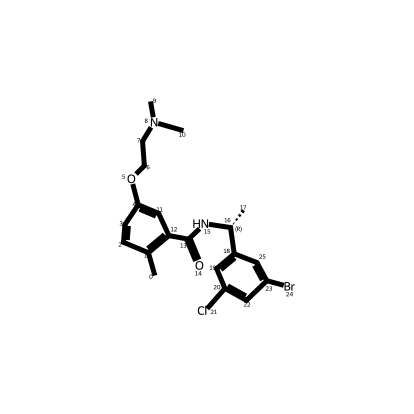 Cc1ccc(OCCN(C)C)cc1C(=O)N[C@H](C)c1cc(Cl)cc(Br)c1